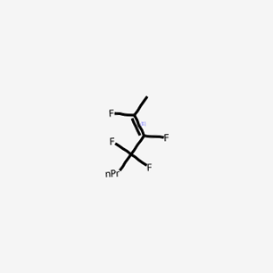 CCCC(F)(F)/C(F)=C(/C)F